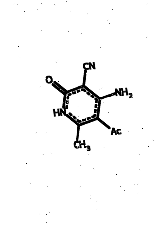 CC(=O)c1c(C)[nH]c(=O)c(C#N)c1N